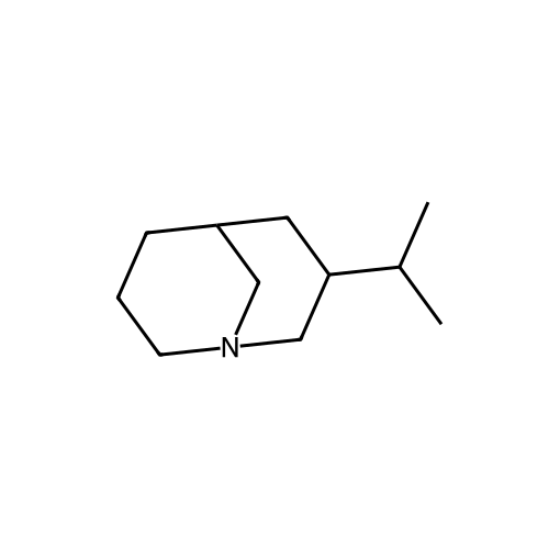 CC(C)C1CC2CCCN(C2)C1